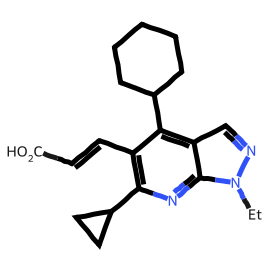 CCn1ncc2c(C3CCCCC3)c(C=CC(=O)O)c(C3CC3)nc21